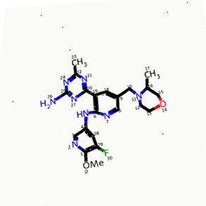 COc1ncc(Nc2ncc(CN3CCOCC3C)cc2-c2nc(C)nc(N)n2)cc1F